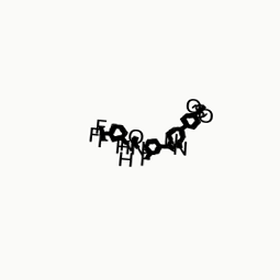 CS(=O)(=O)c1ccc(-c2ccn3c(-c4ccc(NC(=O)Nc5cccc(C(F)(F)F)c5)c(F)c4)cnc3c2)cc1